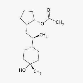 CC(=O)O[C@H]1CCC[C@H]1C[C@@H](C)[C@H]1CC[C@@](C)(O)CC1